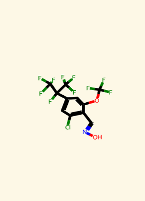 ON=[C]c1c(Cl)cc(C(F)(C(F)(F)F)C(F)(F)F)cc1OC(F)(F)F